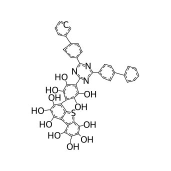 Oc1c(O)c(-c2c(O)c(O)c(O)c3c2sc2c(O)c(O)c(O)c(O)c23)c(O)c(O)c1-c1nc(-c2ccc(-c3ccccc3)cc2)nc(-c2ccc(-c3ccccc3)cc2)n1